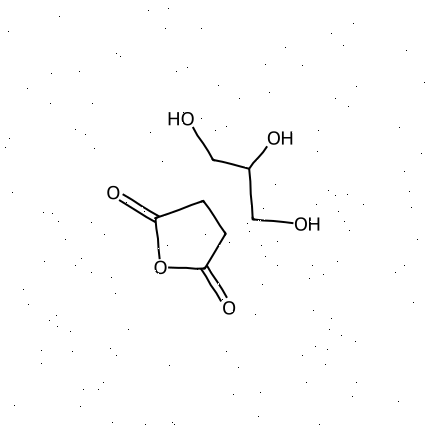 O=C1CCC(=O)O1.OCC(O)CO